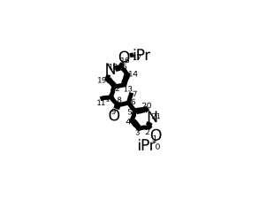 CC(C)Oc1ccc(C(C)C(=O)C(C)c2ccc(OC(C)C)nc2)cn1